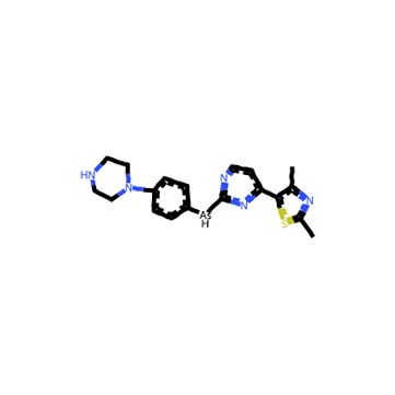 Cc1nc(C)c(-c2ccnc([AsH]c3ccc(N4CCNCC4)cc3)n2)s1